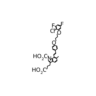 Cc1ccc2c(CCCC(=O)O)cn(CC(=O)O)c2c1C=Cc1ccc(OCCCCOc2cc(F)cc(F)c2Cl)cc1